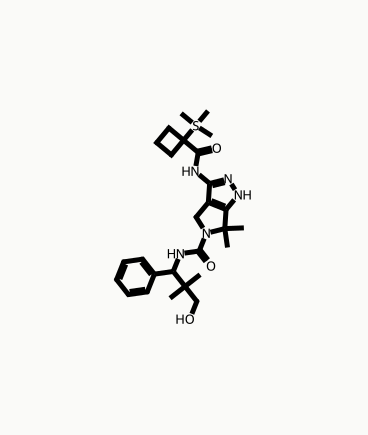 CC(C)(CO)C(NC(=O)N1Cc2c(NC(=O)C3(S(C)(C)C)CCC3)n[nH]c2C1(C)C)c1ccccc1